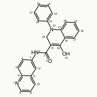 O=C(Nc1ccc2ncccc2c1)C1=C(O)c2ccccc2N(c2ccccc2)C1